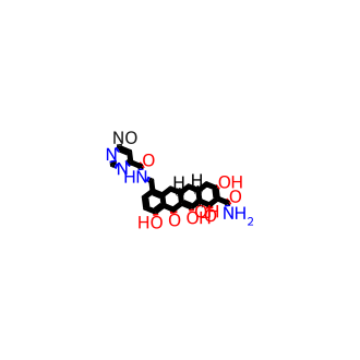 NC(=O)C1=C(O)C[C@@H]2C[C@@H]3Cc4c(CNC(=O)c5cc(N=O)ncn5)ccc(O)c4C(=O)C3=C(O)[C@]2(O)C1=O